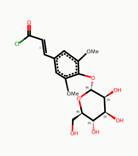 COc1cc(/C=C/C(=O)Cl)cc(OC)c1O[C@H]1O[C@H](CO)[C@@H](O)[C@H](O)[C@@H]1O